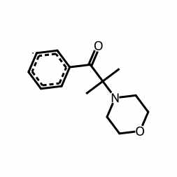 CC(C)(C(=O)c1c[c]ccc1)N1CCOCC1